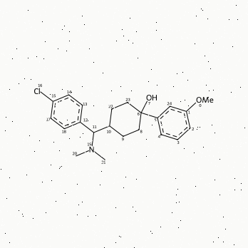 COc1cccc(C2(O)CCC(C(c3ccc(Cl)cc3)N(C)C)CC2)c1